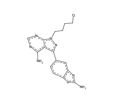 Nc1nc2cc(-c3nn(CCCCCl)c4ncnc(N)c34)ccc2o1